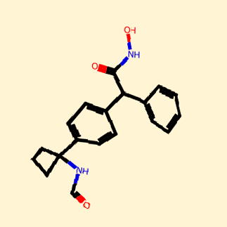 O=CNC1(c2ccc(C(C(=O)NO)c3ccccc3)cc2)CCC1